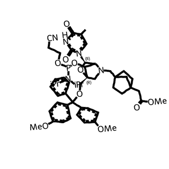 COC(=O)CC12CCC(CN3C[C@]4(COC(c5ccccc5)(c5ccc(OC)cc5)c5ccc(OC)cc5)O[C@@H](n5cc(C)c(=O)[nH]c5=O)C3C4OP(OCCC#N)N(C(C)C)C(C)C)(CC1)C2